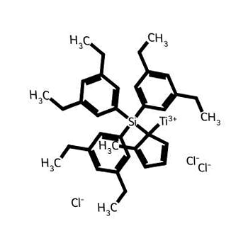 CCc1cc(CC)cc([Si](c2cc(CC)cc(CC)c2)(c2cc(CC)cc(CC)c2)[C]2([Ti+3])C=CC=C2C)c1.[Cl-].[Cl-].[Cl-]